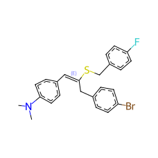 CN(C)c1ccc(/C=C(\Cc2ccc(Br)cc2)SCc2ccc(F)cc2)cc1